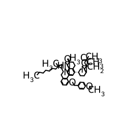 C=C(OC(C)(C)C)N1CCC[C@H](c2cc(-c3c(CCC4CC4(C)CCCCCCC)cccc3OCc3ccc(OC)cc3)nc3c2CCC(=O)N3)C1